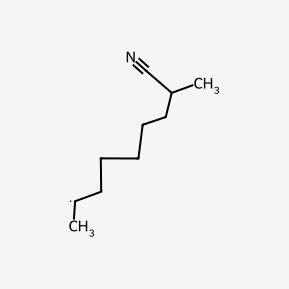 C[CH]CCCCCC(C)C#N